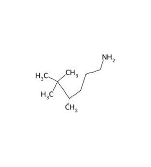 C[C@@H](CCCN)C(C)(C)C